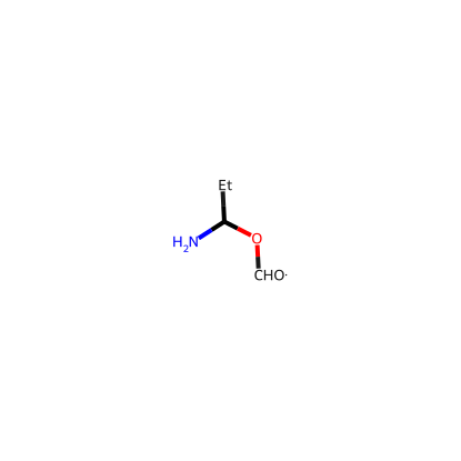 CCC(N)O[C]=O